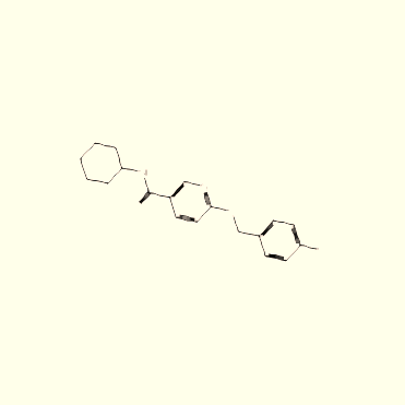 O=C(NC1CCCCC1)c1ccc(OCc2ccc(F)cc2)nc1